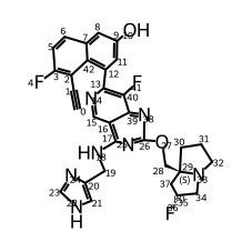 C#Cc1c(F)ccc2cc(O)cc(-c3ncc4c(NCc5c[nH]cn5)nc(OC[C@@]56CCCN5C[C@H](F)C6)nc4c3F)c12